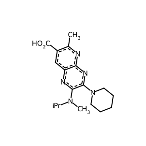 Cc1nc2nc(N3CCCCC3)c(N(C)C(C)C)nc2cc1C(=O)O